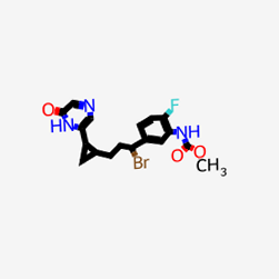 COC(=O)Nc1cc(C(Br)CCC2CC2c2cncc(=O)[nH]2)ccc1F